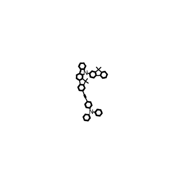 CC1(C)c2ccccc2-c2ccc(-n3c4ccccc4c4ccc5c(c43)C(C)(C)c3cc(C#Cc4ccc(N(c6ccccc6)c6ccccc6)cc4)ccc3-5)cc21